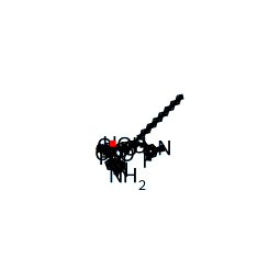 CCCCCCCCCCCCCCCC[C@H](COP(=O)(O)OC[C@@]1(C)O[C@@H](c2ccc3c(N)ncnn23)[C@@H]2OC(C)(C)O[C@@H]21)OCc1cc(F)cc(C#N)c1